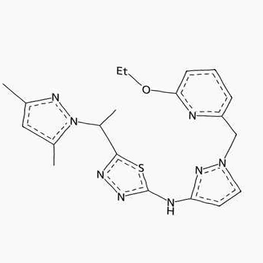 CCOc1cccc(Cn2ccc(Nc3nnc(C(C)n4nc(C)cc4C)s3)n2)n1